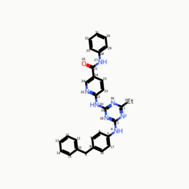 CCc1nc(Nc2ccc(Cc3ccccc3)cc2)nc(Nc2ccc(C(=O)Nc3ccccc3)cn2)n1